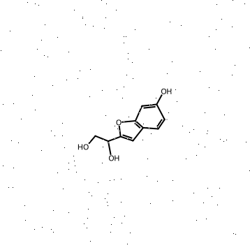 OCC(O)c1cc2c[c]c(O)cc2o1